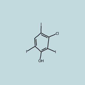 Oc1c(I)cc(I)c(Cl)c1I